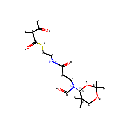 CC(=O)C(C)C(=O)SCCNC(=O)CCN(C=O)[C@@H]1OC(C)(C)OCC1(C)C